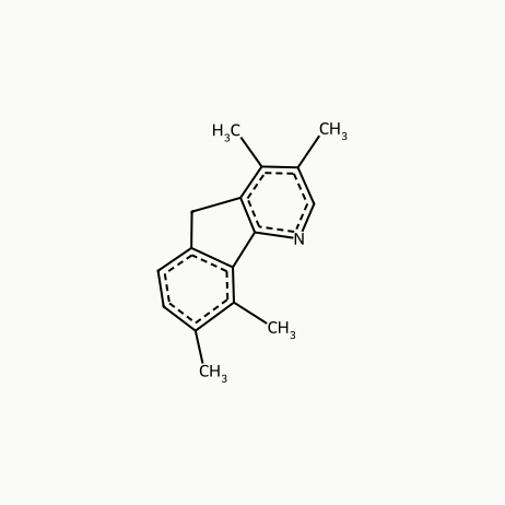 Cc1cnc2c(c1C)Cc1ccc(C)c(C)c1-2